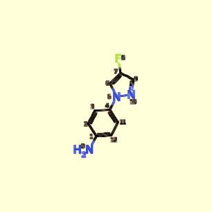 Nc1ccc(-n2cc(F)cn2)cc1